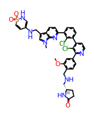 COc1cc(-c2nccc(-c3cccc(-c4ccc5c(CNC6=CNS(=O)(=O)C=C6)cn(C)c5n4)c3Cl)c2Cl)ccc1CNC[C@@H]1CCC(=O)N1